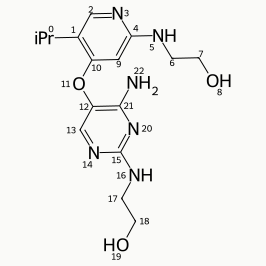 CC(C)c1cnc(NCCO)cc1Oc1cnc(NCCO)nc1N